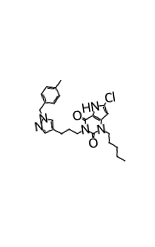 CCCCCn1c(=O)n(CCCc2cnn(Cc3ccc(C)cc3)c2)c(=O)c2[nH]c(Cl)cc21